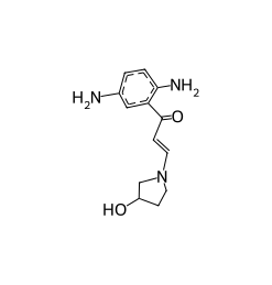 Nc1ccc(N)c(C(=O)C=CN2CCC(O)C2)c1